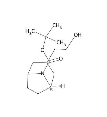 CC(C)(C)OC(=O)N1C2CC[C@@H]1CC(CCO)C2